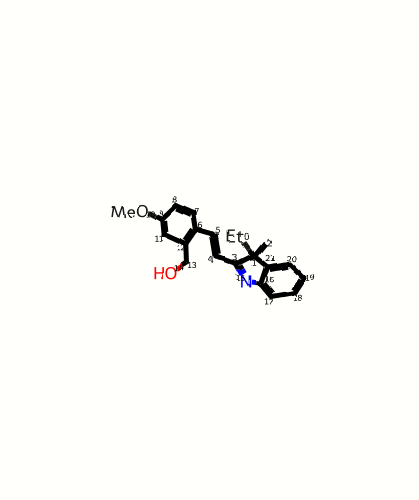 CCC1(C)C(C=Cc2ccc(OC)cc2CO)=Nc2ccccc21